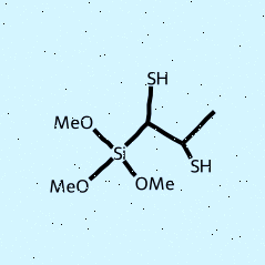 CO[Si](OC)(OC)C(S)C(C)S